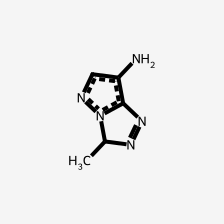 CC1N=Nc2c(N)cnn21